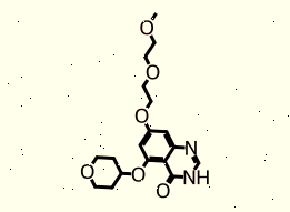 COCCOCCOc1cc(OC2CCOCC2)c2c(=O)[nH]cnc2c1